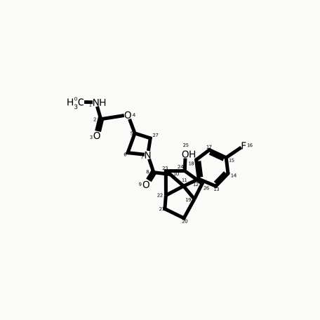 CNC(=O)OC1CN(C(=O)CC2(c3ccc(F)cc3)C3CCC2CC(O)C3)C1